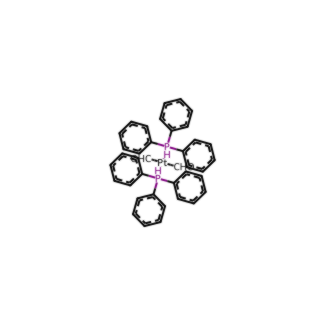 O=[CH][Pt]([CH]=O)([PH](c1ccccc1)(c1ccccc1)c1ccccc1)[PH](c1ccccc1)(c1ccccc1)c1ccccc1